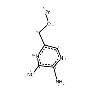 CC(C)OCc1cnc(N)c(C#N)n1